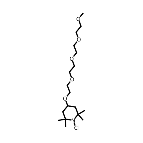 COCCOCCOCCOCCOC1CC(C)(C)N(Cl)C(C)(C)C1